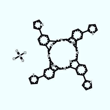 O=S(=O)(Cl)Cl.c1csc(-c2ccc3c(c2)-c2nc-3nc3[nH]c(nc4nc(nc5[nH]c(n2)c2ccc(-c6cccs6)cc52)-c2ccc(-c5cccs5)cc2-4)c2ccc(-c4cccs4)cc32)c1